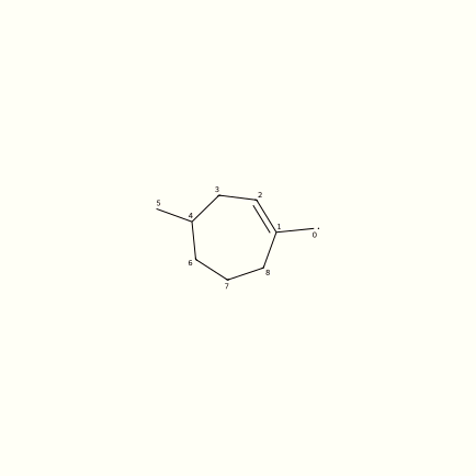 [CH2]C1=CCC(C)CCC1